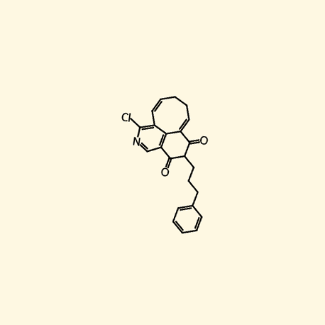 O=C1/C2=C/CC/C=C\c3c(Cl)ncc(c32)C(=O)C1CCCc1ccccc1